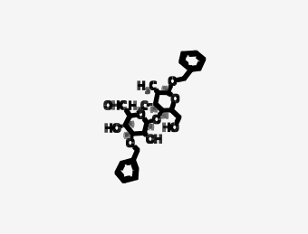 CC1[C@@H](OCc2ccccc2)OC(CO)[C@@H](O[C@@H]2OC(C=O)[C@@H](O)[C@@H](OCc3ccccc3)C2O)[C@@H]1C